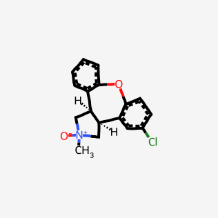 C[N+]1([O-])C[C@@H]2c3cc(Cl)ccc3Oc3ccccc3[C@@H]2C1